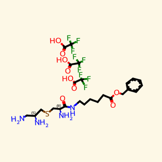 NC[C@H](N)CSC[C@H](N)C(=O)NCCCCCC(=O)OCc1ccccc1.O=C(O)C(F)(F)F.O=C(O)C(F)(F)F.O=C(O)C(F)(F)F